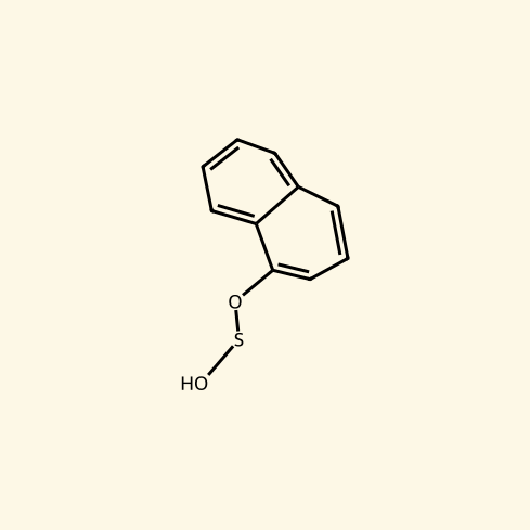 OSOc1cccc2ccccc12